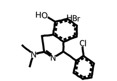 Br.CN(C)C1=NC(c2ccccc2Cl)c2cccc(O)c2C1